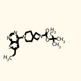 CCc1cc2c(N3CCC4(CC3)CN(C(=O)OC(C)(C)C)C4)ncnc2s1